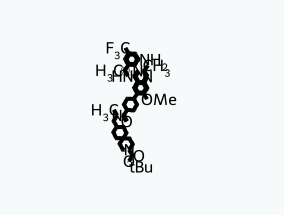 COc1cc2nc(C)nc(N[C@H](C)c3cc(N)cc(C(F)(F)F)c3)c2cc1C1CCC(C(=O)N(C)CC2CCC3(CC2)CCN(C(=O)OC(C)(C)C)CC3)CC1